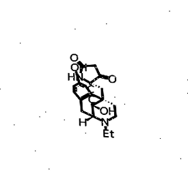 CCN1CC[C@]23C[C@]4(CC[C@@]2(O)[C@H]1Cc1ccc(O)cc13)NC(=O)CC4=O